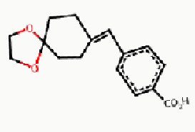 O=C(O)c1ccc(C=C2CCC3(CC2)OCCO3)cc1